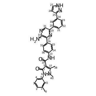 Cc1cccc(-n2c(=O)c(C(=O)Nc3ccc(-c4nc(-c5cccc(-c6cc[nH]n6)c5)cnc4N)cc3)c(C)n2C)c1